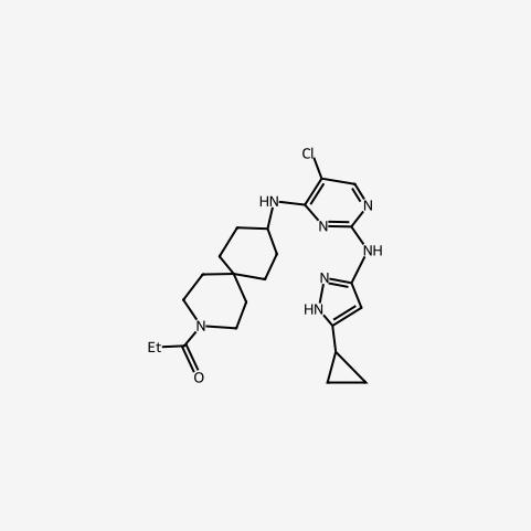 CCC(=O)N1CCC2(CCC(Nc3nc(Nc4cc(C5CC5)[nH]n4)ncc3Cl)CC2)CC1